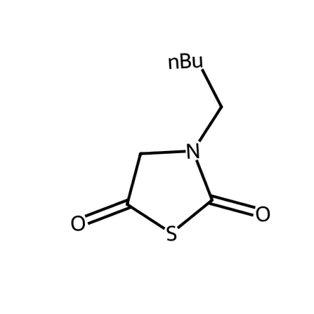 CCCCCN1CC(=O)SC1=O